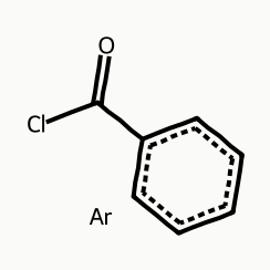 O=C(Cl)c1ccccc1.[Ar]